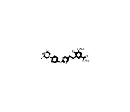 CNC(=O)c1cc(CCc2cnc(Nc3ccc(N4C[C@@H](C)N[C@@H](C)C4)cc3)nc2)c(F)c(OC)c1